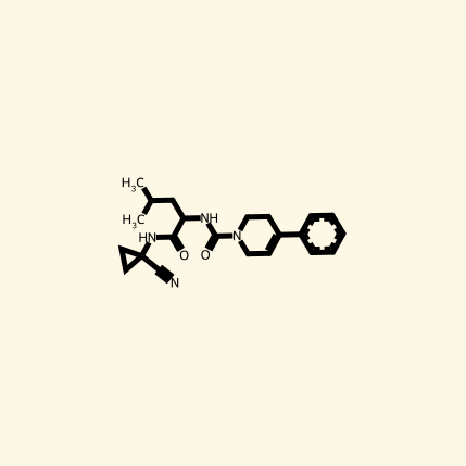 CC(C)CC(NC(=O)N1CC=C(c2ccccc2)CC1)C(=O)NC1(C#N)CC1